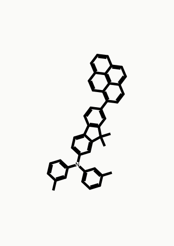 Cc1cccc(N(c2cccc(C)c2)c2ccc3c(c2)C(C)(C)c2cc(-c4ccc5ccc6cccc7ccc4c5c67)ccc2-3)c1